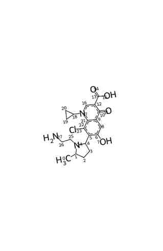 CC1CCC(c2c(O)cc3c(=O)c(C(=O)O)cn(C4CC4)c3c2Cl)N1CCN